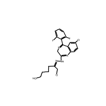 OCCCCC(CCl)=NNC1=Nc2ccc(Cl)cc2C(c2c(F)cccc2F)=NC1